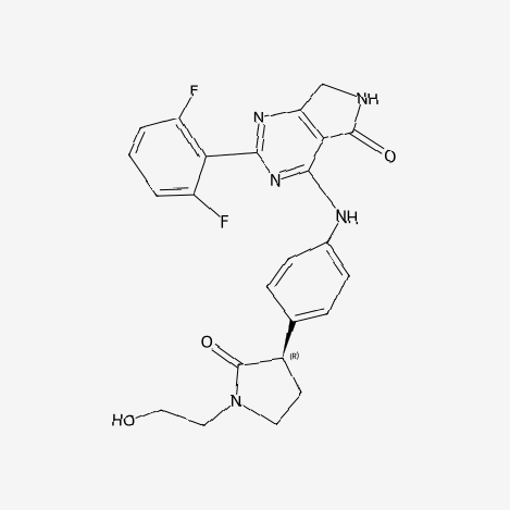 O=C1NCc2nc(-c3c(F)cccc3F)nc(Nc3ccc([C@H]4CCN(CCO)C4=O)cc3)c21